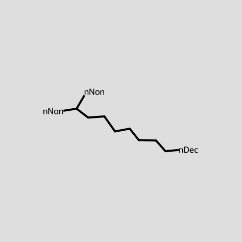 CCCCCCCCCCCCCCCCCC(CCCCCCCCC)CCCCCCCCC